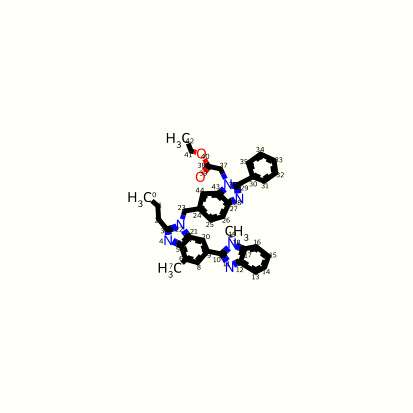 CCCc1nc2c(C)cc(-c3nc4ccccc4n3C)cc2n1Cc1ccc2nc(-c3ccccc3)n(CC(=O)OCC)c2c1